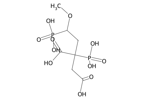 COC(CC(CC(=O)O)(C(=O)O)P(=O)(O)O)P(=O)(O)O